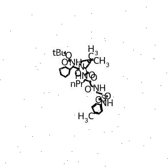 CCCC(NC(=O)[C@@H]1C2C(CN1C(=O)C(NC(=O)OC(C)(C)C)C1CCCCC1)C2(C)C)C(=O)C(=O)NCCS(=O)(=O)Nc1ccc(C)cc1